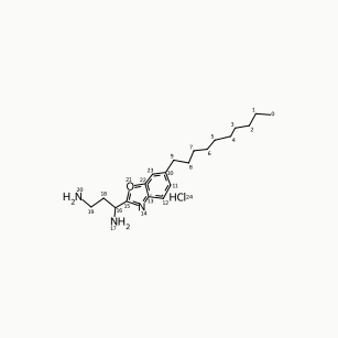 CCCCCCCCCCc1ccc2nc(C(N)CCN)oc2c1.Cl